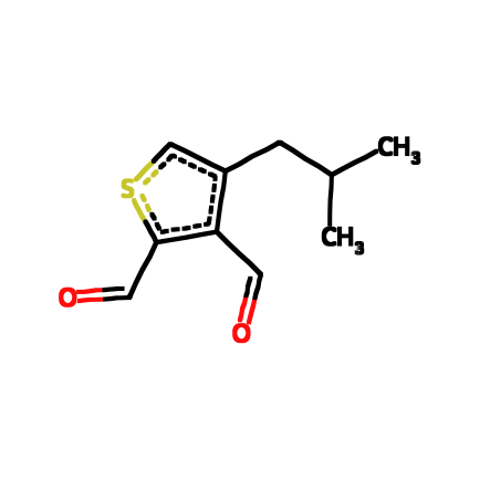 CC(C)Cc1csc(C=O)c1C=O